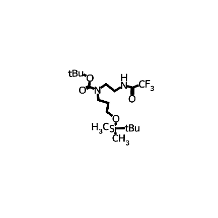 CC(C)(C)OC(=O)N(CCCO[Si](C)(C)C(C)(C)C)CCNC(=O)C(F)(F)F